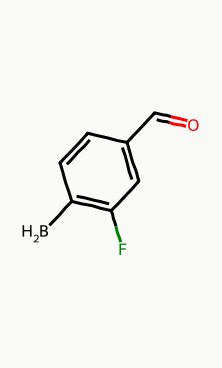 Bc1ccc(C=O)cc1F